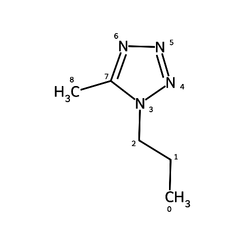 CCCn1nnnc1C